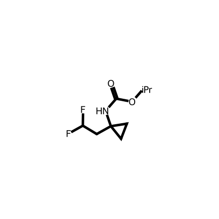 CC(C)OC(=O)NC1(CC(F)F)CC1